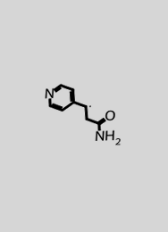 NC(=O)C[CH]c1ccncc1